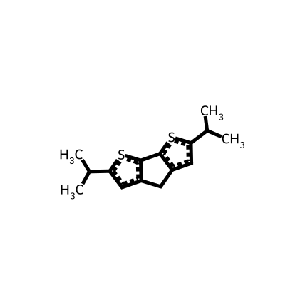 CC(C)c1cc2c(s1)-c1sc(C(C)C)cc1C2